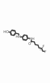 O=C(CCCC[C@H](F)CF)Nc1ccc(NCc2ccc(O)cc2)cc1